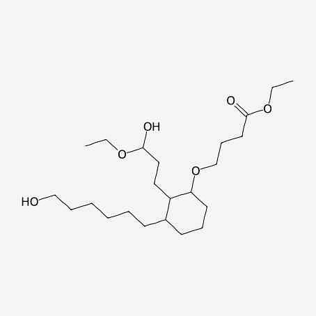 CCOC(=O)CCCOC1CCCC(CCCCCCO)C1CCC(O)OCC